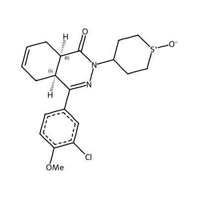 COc1ccc(C2=NN(C3CC[S+]([O-])CC3)C(=O)[C@@H]3CC=CC[C@H]23)cc1Cl